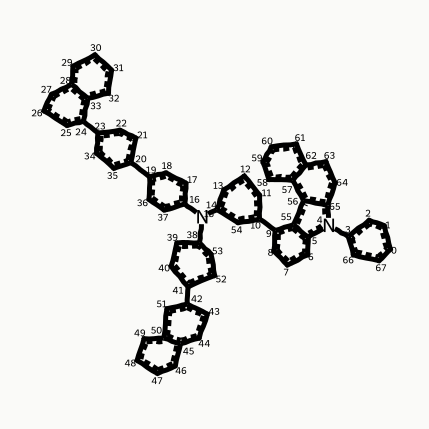 c1ccc(-n2c3cccc(-c4cccc(N(c5ccc(-c6ccc(-c7cccc8ccccc78)cc6)cc5)c5ccc(-c6ccc7ccccc7c6)cc5)c4)c3c3c4ccccc4ccc32)cc1